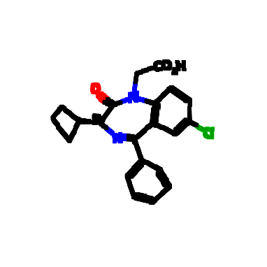 O=C(O)CN1C(=O)[C@H](C2CCC2)N=C(c2ccccc2)c2cc(Cl)ccc21